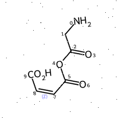 NCC(=O)OC(=O)/C=C\C(=O)O